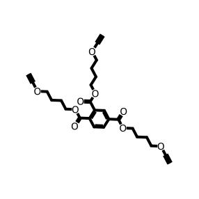 C#COCCCCOC(=O)c1ccc(C(=O)OCCCCOC#C)c(C(=O)OCCCCOC#C)c1